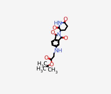 CC(C)(C)OC(=O)CCNc1ccc2c(c1)C(=O)N(C1CCC(=O)NC1=O)C2=O